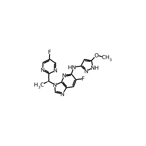 COc1cc(Nc2nc3c(cc2F)ncn3[C@@H](C)c2ncc(F)cn2)n[nH]1